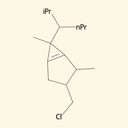 CCCC(C(C)C)C1(C)C2=C1C(C)C(CCl)C2